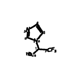 CCCCC(n1ccnc1)C(F)(F)F